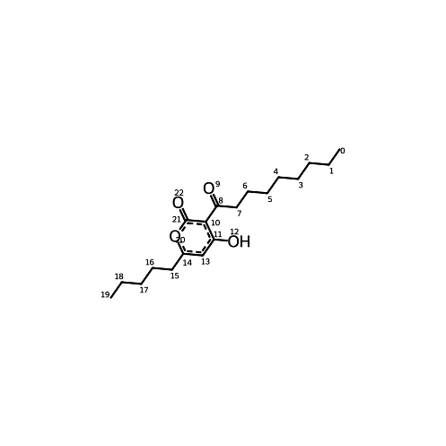 CCCCCCCCC(=O)c1c(O)cc(CCCCC)oc1=O